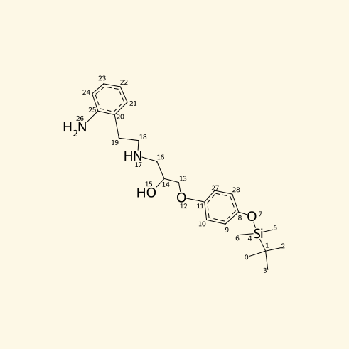 CC(C)(C)[Si](C)(C)Oc1ccc(OCC(O)CNCCc2ccccc2N)cc1